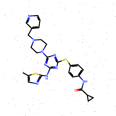 Cc1cnc(Nc2nc(Sc3ccc(NC(=O)C4CC4)cc3)nc(N3CCN(Cc4cccnc4)CC3)n2)s1